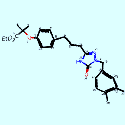 CCOC(=O)C(C)(C)Oc1ccc(CCCc2nn(Cc3ccc(C)c(C)c3)c(=O)[nH]2)cc1